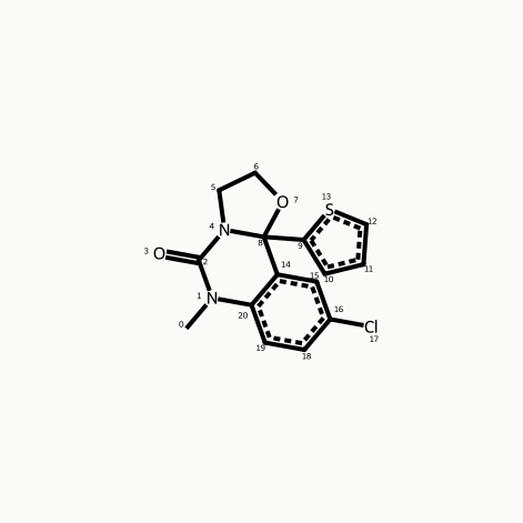 CN1C(=O)N2CCOC2(c2cccs2)c2cc(Cl)ccc21